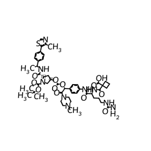 Cc1ncsc1-c1ccc(C(C)NC(=O)[C@@H]2C[C@@H](OC(=O)OC(C(=O)N3CCN(C)CC3)c3ccc(NC(=O)C(CCCNC(N)=O)NC(=O)C4(C(=O)O)CCC4)cc3)CN2C(=O)OC(C)(C)C)cc1